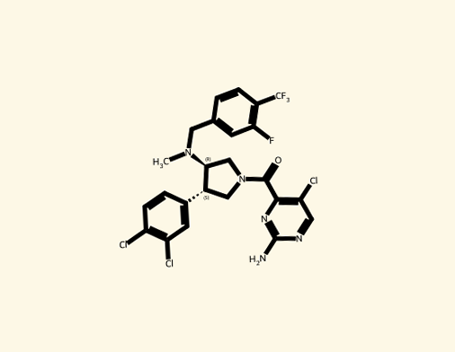 CN(Cc1ccc(C(F)(F)F)c(F)c1)[C@H]1CN(C(=O)c2nc(N)ncc2Cl)C[C@@H]1c1ccc(Cl)c(Cl)c1